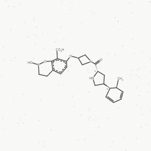 CC1C=CC=C[C@H]1C1CN[C@H](C(=O)N2CC(Oc3ccc4c(c3C(=O)O)OB(O)CC4)C2)C1